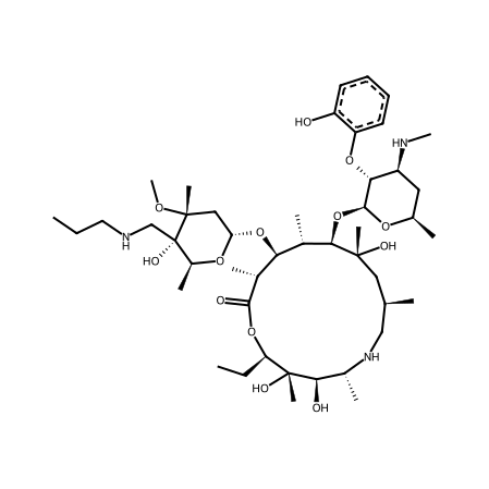 CCCNC[C@]1(O)[C@H](C)O[C@@H](O[C@H]2[C@H](C)[C@@H](O[C@@H]3O[C@H](C)C[C@H](NC)[C@H]3Oc3ccccc3O)[C@](C)(O)C[C@@H](C)CN[C@H](C)[C@@H](O)[C@](C)(O)[C@@H](CC)OC(=O)[C@@H]2C)C[C@@]1(C)OC